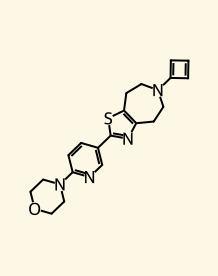 C1=CC(N2CCc3nc(-c4ccc(N5CCOCC5)nc4)sc3CC2)=C1